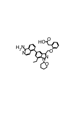 CCc1cc(-c2cccc3c(N)nccc23)cc2c(COc3ccccc3CC(=O)O)nn(C3CCCCO3)c12